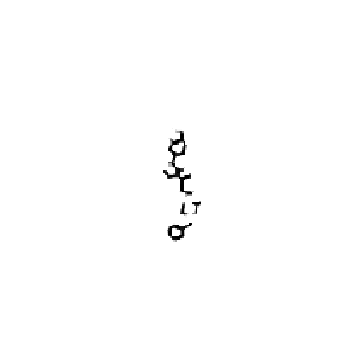 CC1CN(C(=O)c2ccccc2)CCN1C(=O)C(=O)c1c[nH]c2c(-c3ccc4c(c3)OOC4)nccc12